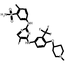 Cc1ccc(Nc2ncc(F)c(Nc3ccc(OC4CCN(C)CC4)c(C(F)(F)F)c3)n2)cc1S(N)(=O)=O